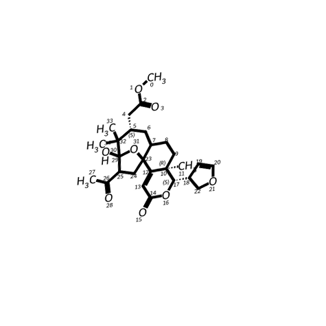 COC(=O)C[C@@H]1CC2CC[C@]3(C)C(=CC(=O)O[C@H]3C3C=COC3)C23CC(C(C)=O)C(O)(O3)C1(C)C